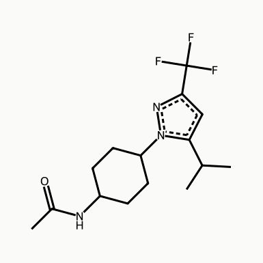 CC(=O)NC1CCC(n2nc(C(F)(F)F)cc2C(C)C)CC1